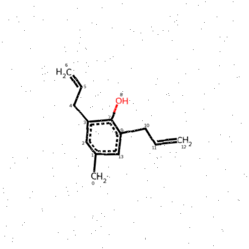 [CH2]c1cc(CC=C)c(O)c(CC=C)c1